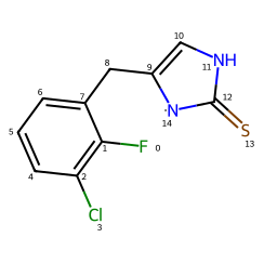 Fc1c(Cl)cccc1CC1=CNC(=S)[N]1